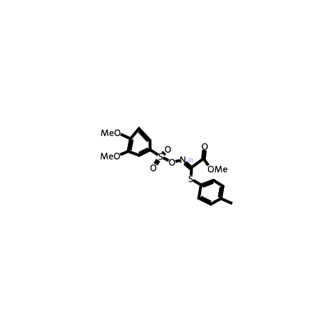 COC(=O)/C(=N/OS(=O)(=O)c1ccc(OC)c(OC)c1)Sc1ccc(C)cc1